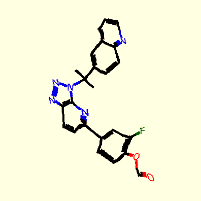 CC(C)(c1ccc2ncccc2c1)n1nnc2ccc(-c3ccc(OC=O)c(F)c3)nc21